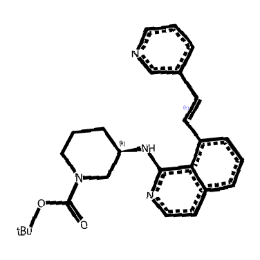 CC(C)(C)OC(=O)N1CCC[C@@H](Nc2nccc3cccc(/C=C/c4cccnc4)c23)C1